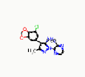 COc1nccnc1-n1nc(C)c(-c2cc(Cl)c3c(c2)OCO3)c1N